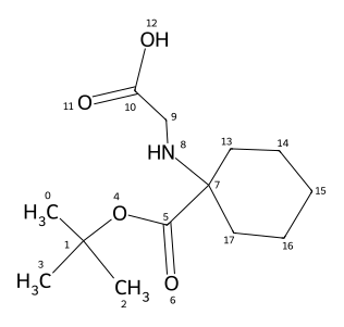 CC(C)(C)OC(=O)C1(NCC(=O)O)CCCCC1